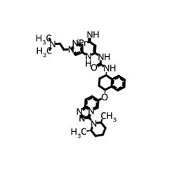 CC(C)C(=N)/C=C(/NC(=O)N[C@H]1CC[C@@H](Oc2ccc3nnc(N4[C@H](C)CCC[C@@H]4C)n3c2)c2ccccc21)Nc1cnn(CCN(C)C)c1